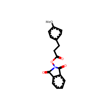 COc1ccc(CCC(=O)ON2C(=O)c3ccccc3C2=O)cc1